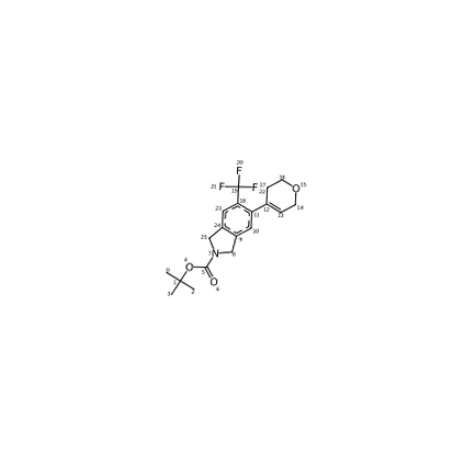 CC(C)(C)OC(=O)N1Cc2cc(C3=CCOCC3)c(C(F)(F)F)cc2C1